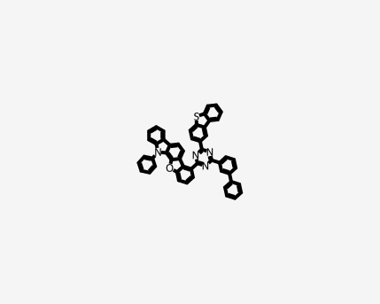 c1ccc(-c2cccc(-c3nc(-c4ccc5sc6ccccc6c5c4)nc(-c4cccc5oc6c(ccc7c8ccccc8n(-c8ccccc8)c76)c45)n3)c2)cc1